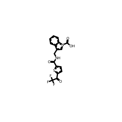 O=C(NCc1cn(C(=O)O)c2ccccc12)c1ccc(C(=O)C(F)(F)F)s1